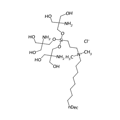 CCCCCCCCCCCCCCCCCC[N+](C)(C)CCC[Si](OCC(N)(CO)CO)(OCC(N)(CO)CO)OCC(N)(CO)CO.[Cl-]